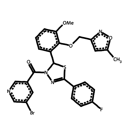 COc1cccc(C2SC(c3ccc(F)cc3)=NN2C(=O)c2cncc(Br)c2)c1OCc1cc(C)on1